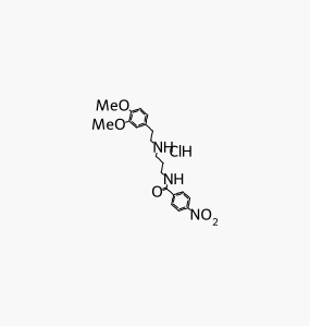 COc1ccc(CCNCCCNC(=O)c2ccc([N+](=O)[O-])cc2)cc1OC.Cl